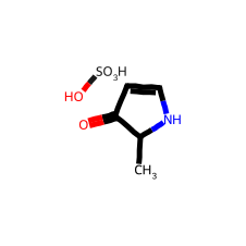 CC1NC=CC1=O.O=S(=O)(O)O